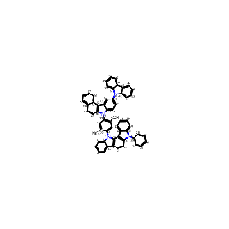 N#Cc1cc(-n2c3ccccc3c3ccc4c(c5ccccc5n4-c4ccccc4)c32)c(C#N)cc1-n1c2ccc(-n3c4ccccc4c4ccccc43)cc2c2c3ccccc3ccc21